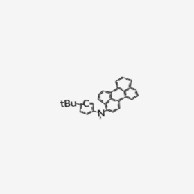 CN(c1ccc(C(C)(C)C)cc1)c1ccc2c3cccc4cccc(c5cccc1c52)c43